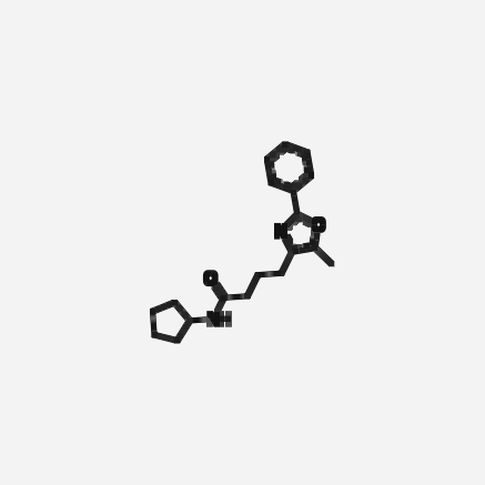 Cc1oc(-c2ccccc2)nc1CCCC(=O)NC1CCCC1